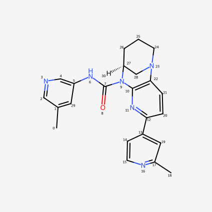 Cc1cncc(NC(=O)N2c3nc(-c4ccnc(C)c4)ccc3N3CCC[C@H]2C3)c1